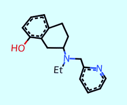 CCN(Cc1ccccn1)C1CCc2cccc(O)c2C1